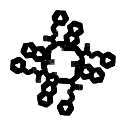 O=C(OCc1ccccc1)c1c2nc(c(C(=O)OCc3ccccc3)c3[nH]c(c(C(=O)OCc4ccccc4)c4nc(c(C(=O)OCc5ccccc5)c5[nH]c1c1cc6ccccc6cc51)-c1cc5ccccc5cc1-4)c1cc4ccccc4cc31)-c1cc3ccccc3cc1-2